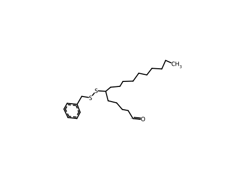 CCCCCCCCCCC(CCCC[C]=O)SSCc1ccccc1